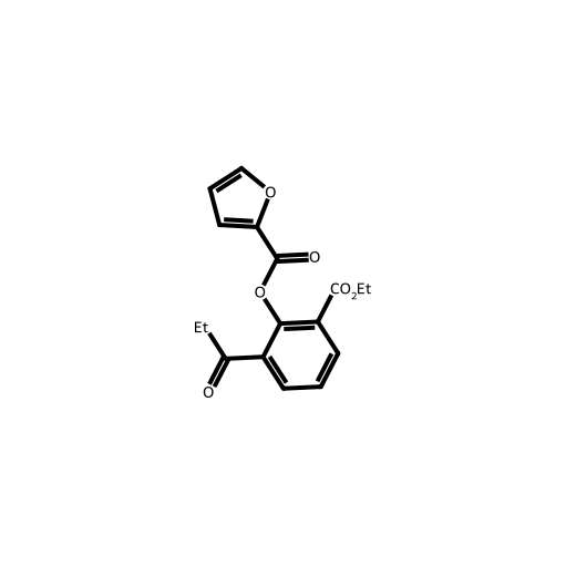 CCOC(=O)c1cccc(C(=O)CC)c1OC(=O)c1ccco1